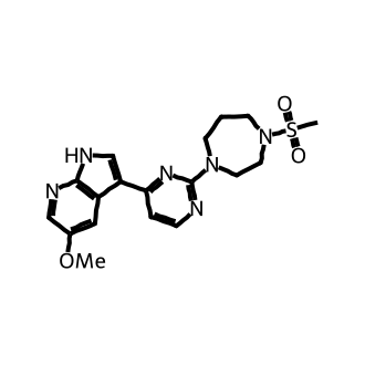 COc1cnc2[nH]cc(-c3ccnc(N4CCCN(S(C)(=O)=O)CC4)n3)c2c1